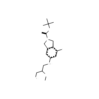 COC(CO)CNc1cc(Br)c2c(c1)CN(C(=O)OC(C)(C)C)C2